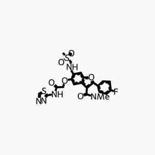 CNC(=O)c1c(-c2ccc(F)cc2)oc2cc(NCS(C)(=O)=O)c(OCC(=O)Nc3nncs3)cc12